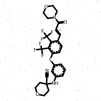 N#CC1(Nc2cccc(Sc3ccc(/C=C/C(=O)N4CCOCC4)c(C(F)(F)F)c3C(F)(F)F)c2)CCOCC1